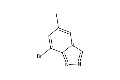 Brc1cc(I)cn2cnnc12